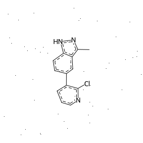 Cc1n[nH]c2ccc(-c3cccnc3Cl)cc12